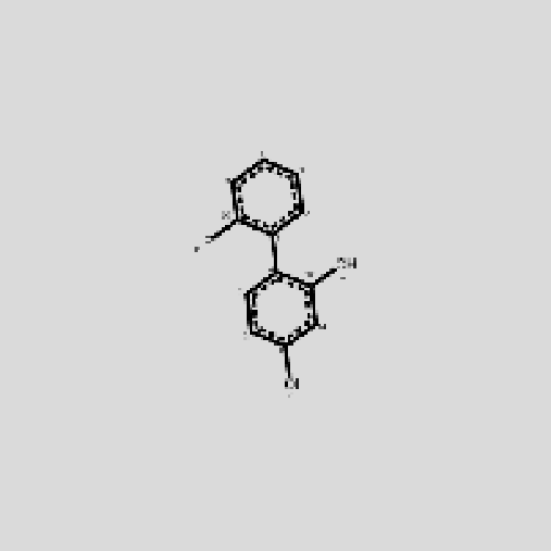 Oc1ccc(-c2ccccc2F)c(O)c1